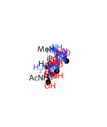 CNC(=N)NCCC[C@H](NC(=O)[C@H](CC(C)C)NC(=O)NNC(=O)[C@H](Cc1ccc(C)cc1)NC(=O)[C@@H](NC(=O)[C@H](CC(N)=O)NC(=O)[C@@H]1C[C@@H](O)CN1C(=O)[C@@H](Cc1ccc(O)cc1)NC(C)=O)[C@@H](C)O)C(=O)N[C@@H](Cc1c[nH]c2ccccc12)C(N)=O